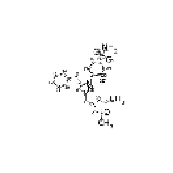 CC1CN(Cc2cc(Cc3ccccc3)n(-c3ccc(S(N)(=O)=O)cc3F)n2)CC(C)O1